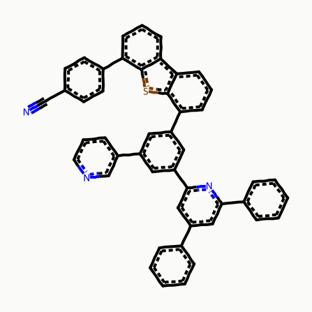 N#Cc1ccc(-c2cccc3c2sc2c(-c4cc(-c5cccnc5)cc(-c5cc(-c6ccccc6)cc(-c6ccccc6)n5)c4)cccc23)cc1